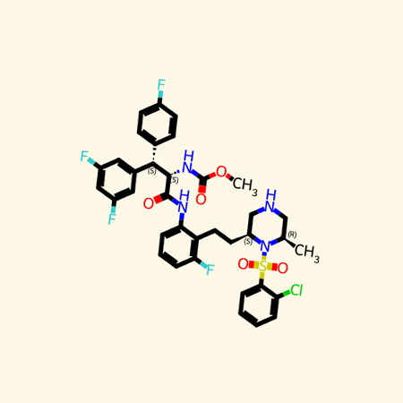 COC(=O)N[C@H](C(=O)Nc1cccc(F)c1CC[C@H]1CNC[C@@H](C)N1S(=O)(=O)c1ccccc1Cl)[C@@H](c1ccc(F)cc1)c1cc(F)cc(F)c1